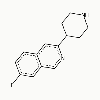 Ic1ccc2cc(C3CCNCC3)ncc2c1